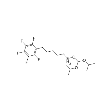 CC(C)OC(O[SiH2]CCCCCc1c(F)c(F)c(F)c(F)c1F)OC(C)C